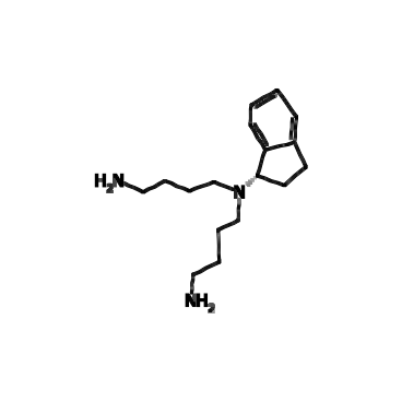 NCCCCN(CCCCN)[C@H]1CCc2ccccc21